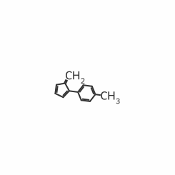 C=C1C=CC=C1c1ccc(C)cc1